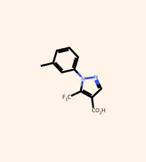 Cc1cccc(-n2ncc(C(=O)O)c2C(F)(F)F)c1